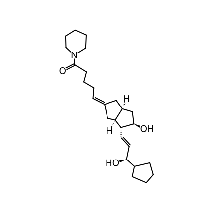 O=C(CCCC=C1C[C@H]2C[C@@H](O)[C@H](/C=C/[C@H](O)C3CCCC3)[C@H]2C1)N1CCCCC1